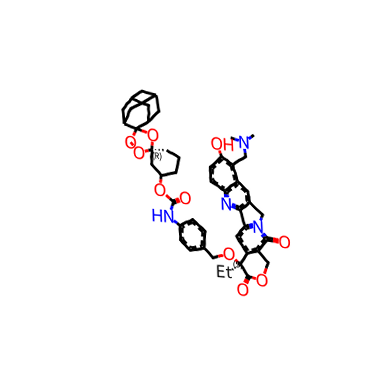 CC[C@@]1(OCc2ccc(NC(=O)OC3CCC[C@]4(C3)OOC3(O4)C4CC5CC(C4)CC3C5)cc2)C(=O)OCc2c1cc1n(c2=O)Cc2cc3c(CN(C)C)c(O)ccc3nc2-1